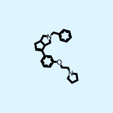 C1=C(c2cccc(OCCN3CCCC3)c2)C2CN(Cc3ccccc3)CC2C1